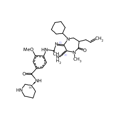 C=CCC1CN(C2CCCCC2)C(=N/C(=C)Nc2ccc(C(=O)N[C@H]3CCCNC3)cc2OC)/C(=C\N)N(C)C1=O